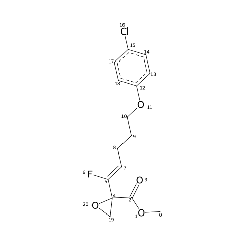 COC(=O)C1(C(F)=CCCCOc2ccc(Cl)cc2)CO1